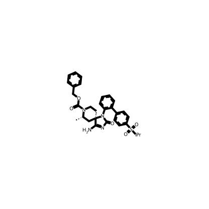 CC(C)S(=O)(=O)c1ccc(-c2ccccc2N2C(=O)N=C(N)[C@]23CCN(C(=O)OCc2ccccc2)[C@@H](C)C3)cc1